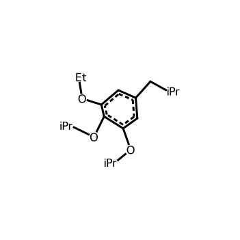 CCOc1cc(CC(C)C)cc(OC(C)C)c1OC(C)C